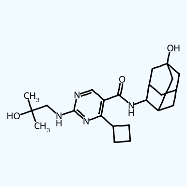 CC(C)(O)CNc1ncc(C(=O)NC2C3CC4CC2CC(O)(C4)C3)c(C2CCC2)n1